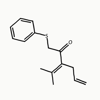 C=CCC(C(=O)CSc1ccccc1)=C(C)C